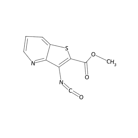 COC(=O)c1sc2cccnc2c1N=C=O